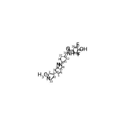 Cc1cc(-c2ccc3cn([C@H]4CC[C@H](CNC(=O)c5cc(F)c(O)c(F)c5)CC4)nc3c2)ccn1